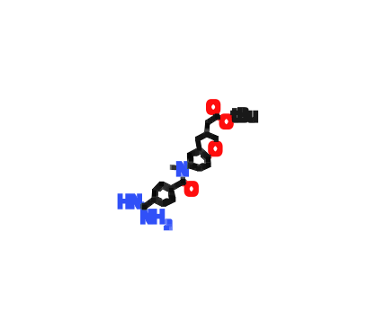 CN(C(=O)c1ccc(C(=N)N)cc1)c1ccc2c(c1)CC(CC(=O)OC(C)(C)C)CO2